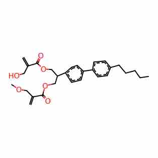 C=C(CO)C(=O)OCC(COC(=O)C(=C)COC)c1ccc(-c2ccc(CCCCC)cc2)cc1